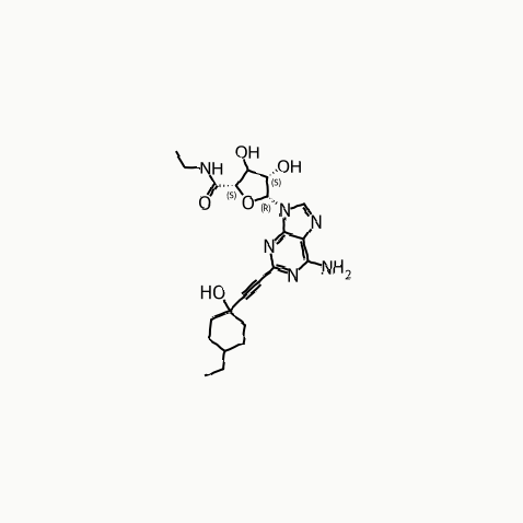 CCNC(=O)[C@H]1O[C@@H](n2cnc3c(N)nc(C#CC4(O)CCC(CC)CC4)nc32)[C@@H](O)C1O